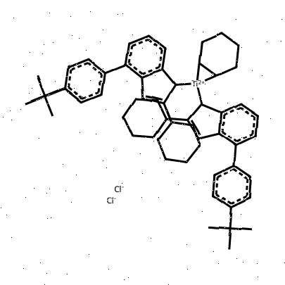 CC(C)(C)c1ccc(-c2cccc3c2C=C(C2CCCCC2)[CH]3[Ti+2]2([CH]3C(C4CCCCC4)=Cc4c(-c5ccc(C(C)(C)C)cc5)cccc43)[CH]3CCCC[CH]32)cc1.[Cl-].[Cl-]